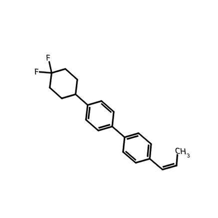 C/C=C\c1ccc(-c2ccc(C3CCC(F)(F)CC3)cc2)cc1